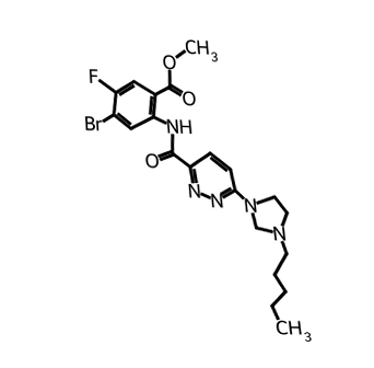 CCCCCN1CCN(c2ccc(C(=O)Nc3cc(Br)c(F)cc3C(=O)OC)nn2)C1